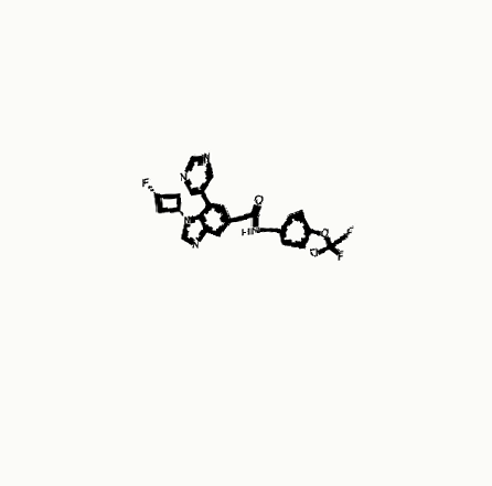 O=C(Nc1ccc(OC(F)(F)Cl)cc1)c1cc(-c2cncnc2)c2c(c1)ncn2[C@H]1C[C@@H](F)C1